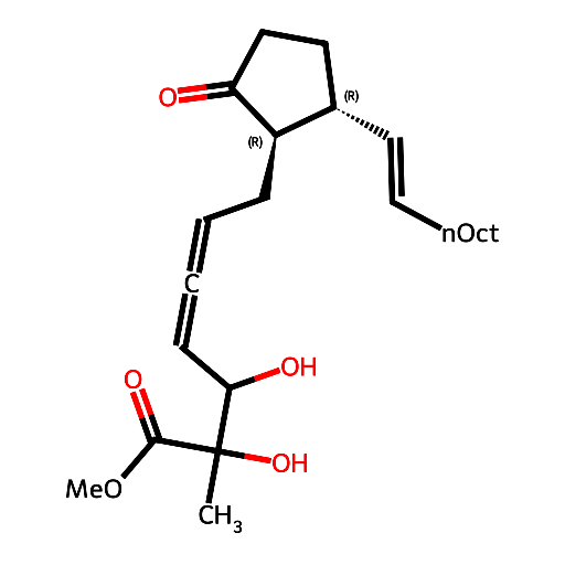 CCCCCCCCC=C[C@H]1CCC(=O)[C@@H]1CC=C=CC(O)C(C)(O)C(=O)OC